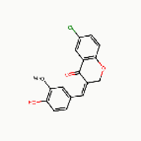 COc1cc(C=C2COc3ccc(Cl)cc3C2=O)ccc1O